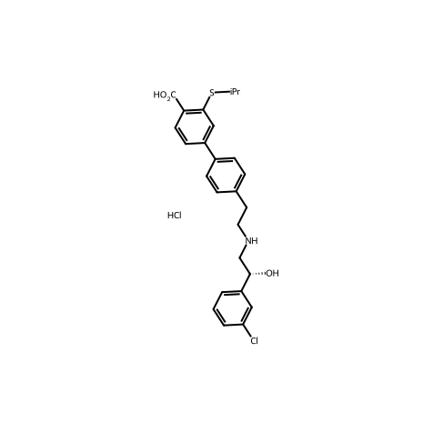 CC(C)Sc1cc(-c2ccc(CCNC[C@H](O)c3cccc(Cl)c3)cc2)ccc1C(=O)O.Cl